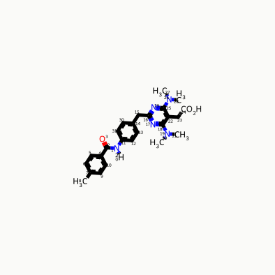 [2H]N(C(=O)c1ccc(C)cc1)c1ccc(Cc2nc(N(C)C)c(CC(=O)O)c(N(C)C)n2)cc1